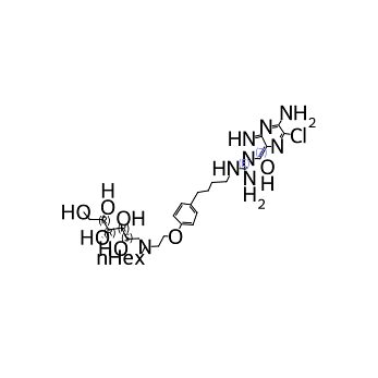 CCCCCCN(CCOc1ccc(CCCCN/C(N)=N/C(O)=C2/N=C(Cl)C(N)=NC2=N)cc1)C[C@H](O)[C@@H](O)[C@H](O)[C@H](O)CO